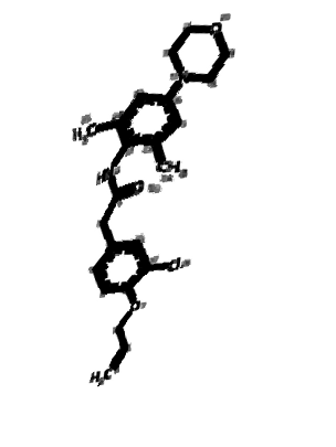 C=CCOc1ccc(CC(=O)Nc2c(C)cc(N3CCOCC3)cc2C)cc1Cl